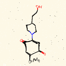 COC1=CC(=O)C(N2CCC(CCO)CC2)=CC1=O